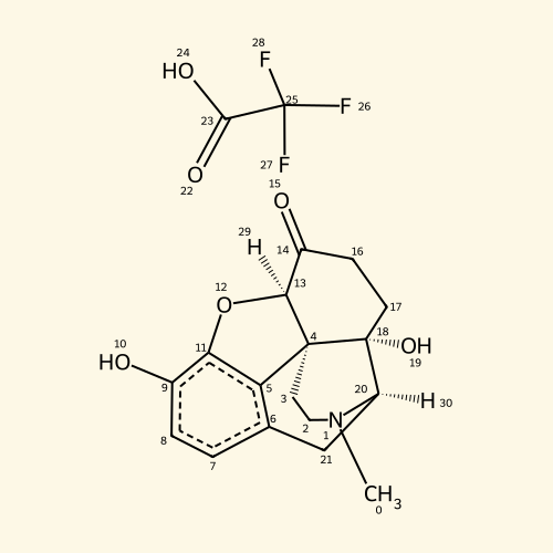 CN1CC[C@]23c4c5ccc(O)c4O[C@H]2C(=O)CC[C@@]3(O)[C@H]1C5.O=C(O)C(F)(F)F